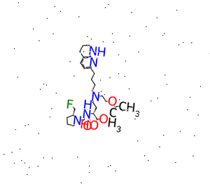 CC(C)OCCN(CCCCc1ccc2c(n1)NCCC2)CC[C@H](NC(=O)N1CCC[C@H]1CF)C(=O)O